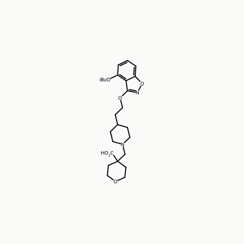 CC(C)COc1cccc2onc(OCCC3CCN(CC4(C(=O)O)CCOCC4)CC3)c12